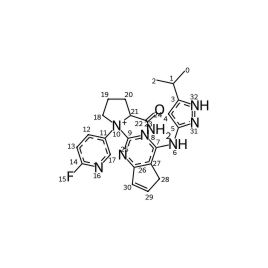 CC(C)c1cc(Nc2nc([N+]3(c4ccc(F)nc4)CCCC3C(N)=O)nc3c2CC=C3)n[nH]1